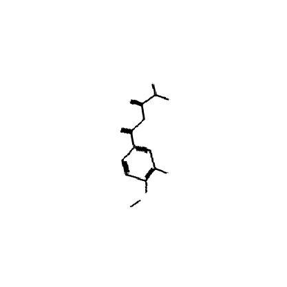 COc1ccc(C(=O)CC(=O)C(Cl)Cl)cc1F